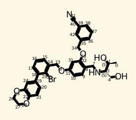 C[C@H](O)[C@H](CO)NCc1ccc(OCc2cccc(-c3ccc4c(c3)OCCO4)c2Br)cc1OCc1cccc(C#N)c1